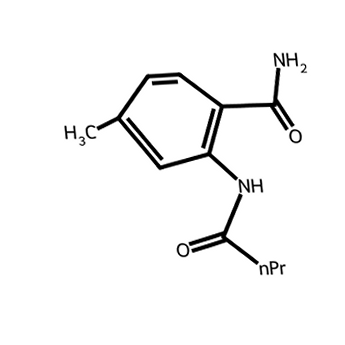 CCCC(=O)Nc1cc(C)ccc1C(N)=O